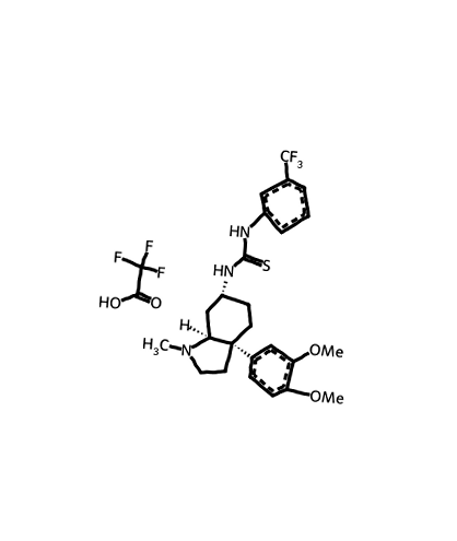 COc1ccc([C@@]23CC[C@@H](NC(=S)Nc4cccc(C(F)(F)F)c4)C[C@@H]2N(C)CC3)cc1OC.O=C(O)C(F)(F)F